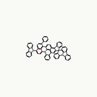 c1ccc(-c2ccccc2-c2ccccc2N(c2ccc(-n3c4ccccc4c4ccccc43)cc2)c2ccccc2-c2ccc3c(c2)C2(c4ccccc4-3)c3ccccc3-n3c4ccccc4c4cccc2c43)cc1